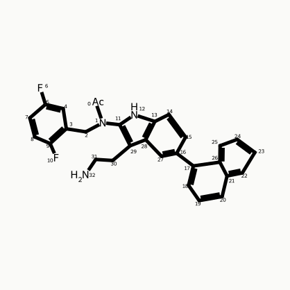 CC(=O)N(Cc1cc(F)ccc1F)c1[nH]c2ccc(-c3cccc4ccccc34)cc2c1CCN